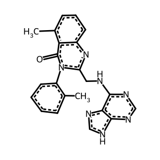 Cc1ccccc1-n1c(CNc2ncnc3[nH]cnc23)nc2cccc(C)c2c1=O